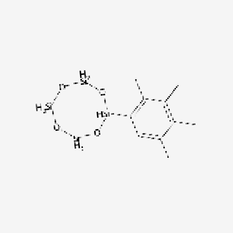 Cc1cc([SiH]2O[SiH2]O[SiH2]O[SiH2]O2)c(C)c(C)c1C